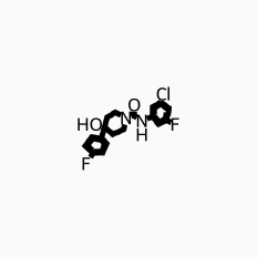 O=C(Nc1cc(F)cc(Cl)c1)N1CCC(O)(c2ccc(F)cc2)CC1